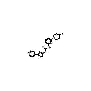 O=C1CCN(c2cccc(NC(=O)Nc3csc(-c4ccncc4)n3)n2)CC1